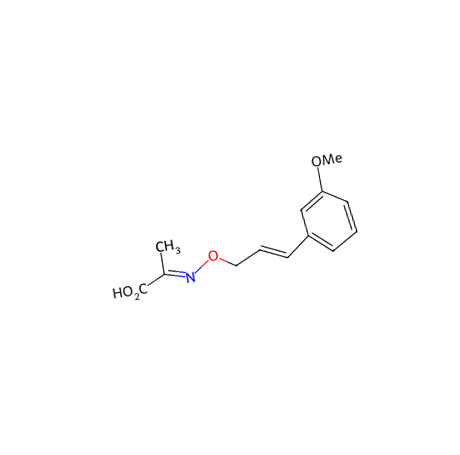 COc1cccc(C=CCON=C(C)C(=O)O)c1